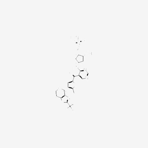 Cc1sc(C(=O)c2cncnc2N[C@@H]2C[C@H](COS(N)(=O)=O)[C@@H](O)C2)cc1[C@H]1OCCc2sc(C(F)(F)F)nc21